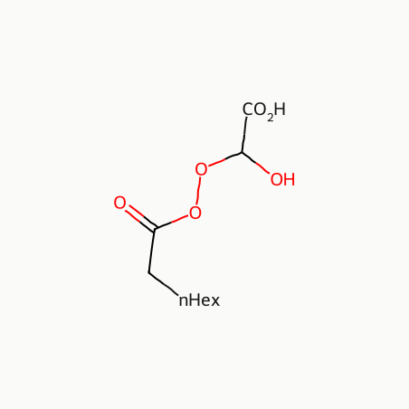 CCCCCCCC(=O)OOC(O)C(=O)O